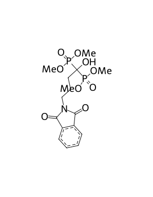 COP(=O)(OC)C(O)(CCCN1C(=O)c2ccccc2C1=O)P(=O)(OC)OC